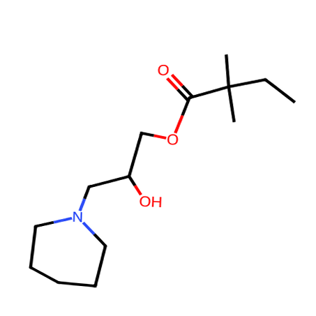 CCC(C)(C)C(=O)OCC(O)CN1CCCCC1